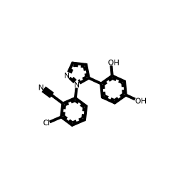 N#Cc1c(Cl)cccc1-n1nccc1-c1ccc(O)cc1O